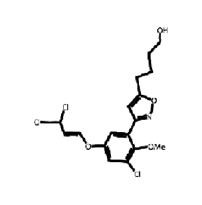 COc1c(Cl)cc(OC=CC(Cl)Cl)cc1-c1cc(CCCCO)on1